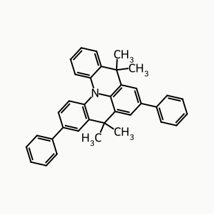 CC1(C)c2ccccc2N2c3ccc(-c4ccccc4)cc3C(C)(C)c3cc(-c4ccccc4)cc1c32